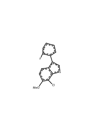 COc1ccc2c(-c3ccccc3F)csc2c1Cl